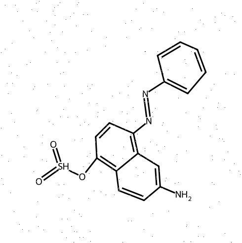 Nc1ccc2c(O[SH](=O)=O)ccc(N=Nc3ccccc3)c2c1